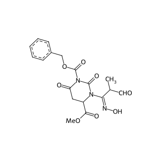 COC(=O)C1CC(=O)N(C(=O)OCc2ccccc2)C(=O)N1C(=NO)C(C)C=O